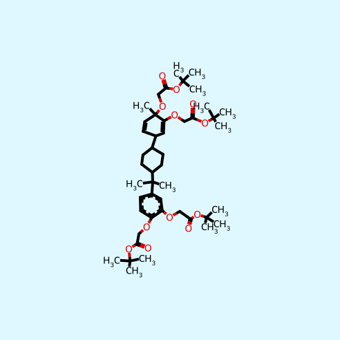 CC(C)(C)OC(=O)COC1=CC(C2CCC(C(C)(C)c3ccc(OCC(=O)OC(C)(C)C)c(OCC(=O)OC(C)(C)C)c3)CC2)C=CC1(C)OCC(=O)OC(C)(C)C